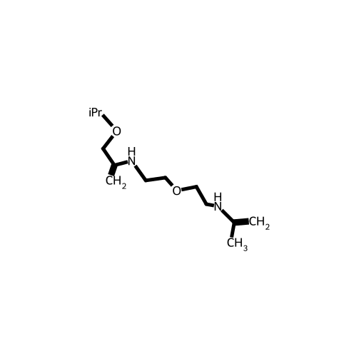 C=C(C)NCCOCCNC(=C)COC(C)C